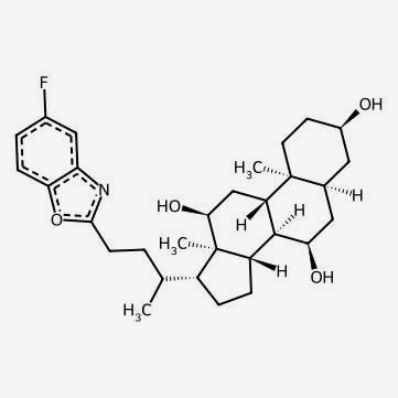 CC(CCc1nc2cc(F)ccc2o1)[C@H]1CC[C@H]2[C@@H]3[C@H](O)C[C@@H]4C[C@H](O)CC[C@]4(C)[C@H]3C[C@H](O)[C@]12C